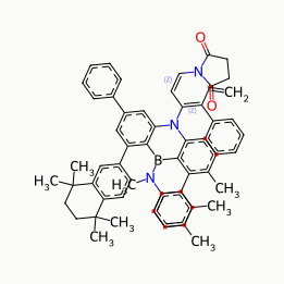 C=C/C(=C(\C=C/N1C(=O)CCC1=O)N1c2cc(-c3ccccc3)cc(-c3ccc4c(c3)C(C)(C)CCC4(C)C)c2B(N(C)C2=CC=C(C)CC2)c2c1ccc(C)c2-c1ccccc1C)c1ccccc1